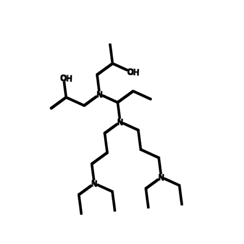 CCC(N(CCCN(CC)CC)CCCN(CC)CC)N(CC(C)O)CC(C)O